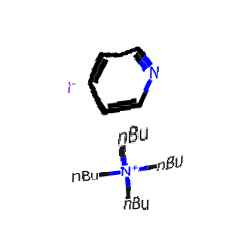 CCCC[N+](CCCC)(CCCC)CCCC.[I-].c1ccncc1